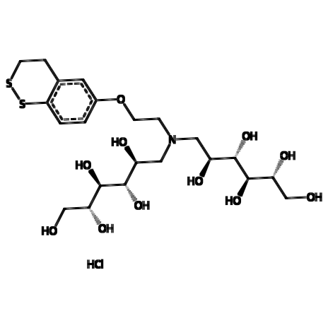 Cl.OC[C@@H](O)[C@@H](O)[C@@H](O)[C@@H](O)CN(CCOc1ccc2c(c1)CCSS2)C[C@H](O)[C@H](O)[C@H](O)[C@H](O)CO